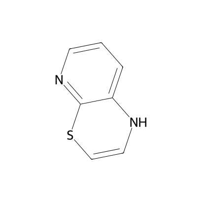 C1=CSc2ncccc2N1